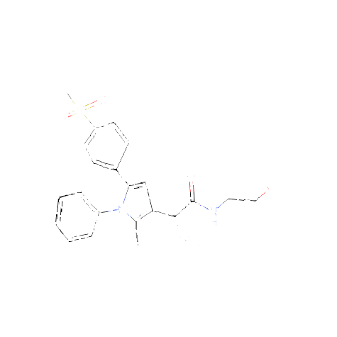 Cc1c([C@@H](N)C(=O)NCCO)cc(-c2ccc(S(C)(=O)=O)cc2)n1-c1ccccc1